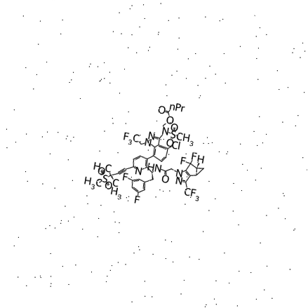 CCCC(=O)OCN(c1nn(CC(F)(F)F)c2c(-c3ccc(C#CC(C)(C)S(C)(=O)=O)nc3[C@H](Cc3cc(F)cc(F)c3)NC(=O)Cn3nc(C(F)(F)F)c4c3C(F)(F)[C@@H]3CC43)ccc(Cl)c12)S(C)(=O)=O